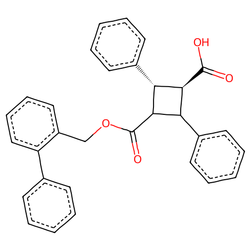 O=C(OCc1ccccc1-c1ccccc1)C1C(c2ccccc2)[C@H](C(=O)O)[C@H]1c1ccccc1